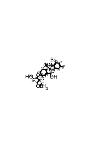 CC[C@@]1(CO)OC2(C=C(C(=O)O)C(S(=O)(=O)Nc3ccc(F)cc3Br)CC2)O[C@H]1CO